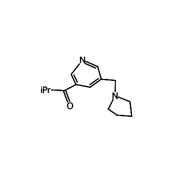 CC(C)C(=O)c1cncc(CN2CCCC2)c1